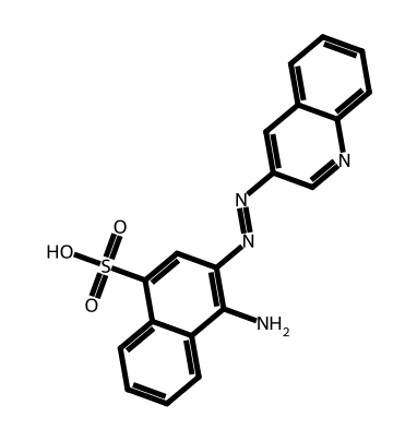 Nc1c(/N=N/c2cnc3ccccc3c2)cc(S(=O)(=O)O)c2ccccc12